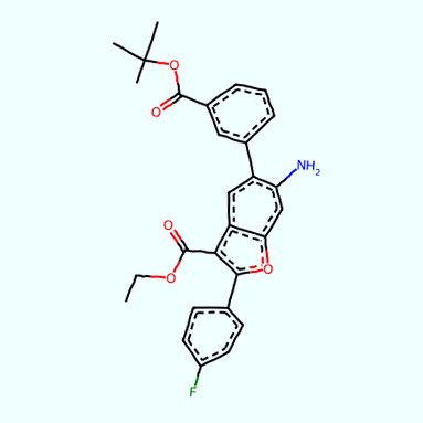 CCOC(=O)c1c(-c2ccc(F)cc2)oc2cc(N)c(-c3cccc(C(=O)OC(C)(C)C)c3)cc12